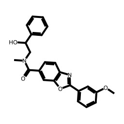 COc1cccc(-c2nc3ccc(C(=O)N(C)CC(O)c4ccccc4)cc3o2)c1